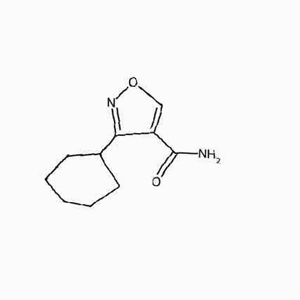 NC(=O)c1conc1C1CCCCC1